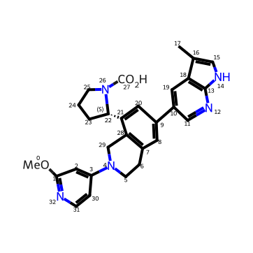 COc1cc(N2CCc3cc(-c4cnc5[nH]cc(C)c5c4)cc([C@@H]4CCCN4C(=O)O)c3C2)ccn1